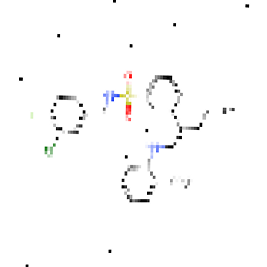 CC(C)CCC(CNc1ccccc1C(=O)O)c1cccc(S(=O)(=O)NCc2ccc(F)c(Cl)c2)c1